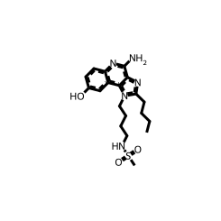 CCCCc1nc2c(N)nc3ccc(O)cc3c2n1CCCCNS(C)(=O)=O